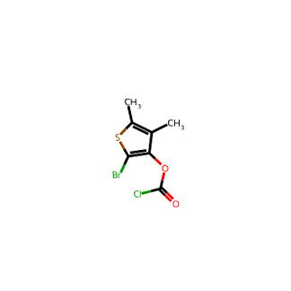 Cc1sc(Br)c(OC(=O)Cl)c1C